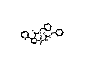 O=C(NS(=O)(=O)n1ccc(-c2ccccn2)c1C(=O)OCc1ccccc1)OCc1ccccc1